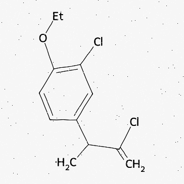 [CH2]C(C(=C)Cl)c1ccc(OCC)c(Cl)c1